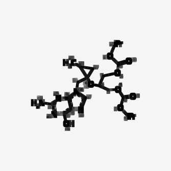 CC(C)OC(=O)OCC(COC(=O)OC(C)C)OC1(Cn2cnc3c(O)nc(N)nc32)CC1C